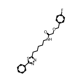 O=C(COCc1ccc(F)cc1)NCCCCCc1nnc(-c2ccccc2)s1